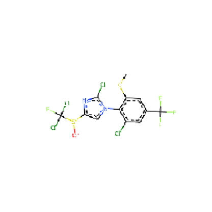 CSc1cc(C(F)(F)F)cc(Cl)c1-n1cc([S+]([O-])C(F)(Cl)Cl)nc1Cl